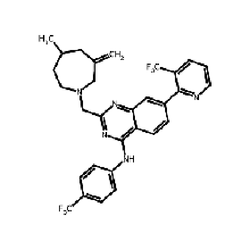 C=C1CC(C)CCN(Cc2nc(Nc3ccc(C(F)(F)F)cc3)c3ccc(-c4ncccc4C(F)(F)F)cc3n2)C1